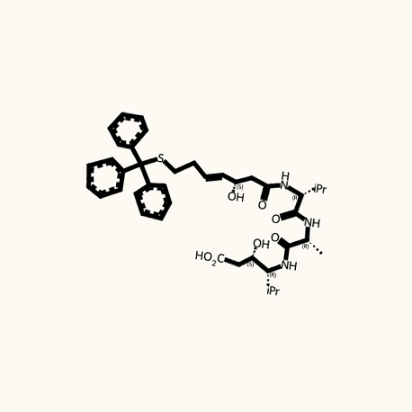 CC(C)[C@@H](NC(=O)[C@@H](C)NC(=O)[C@H](NC(=O)C[C@H](O)C=CCCSC(c1ccccc1)(c1ccccc1)c1ccccc1)C(C)C)[C@@H](O)CC(=O)O